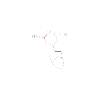 CC(C)(C)C(=O)OC(CC(=O)O)C1CC2CCCC(C2)C1